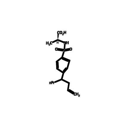 C=CCC(CCC)c1ccc(S(=O)(=O)N[C@H](C)C(=O)O)cc1